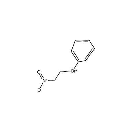 O=[N+]([O-])CC[Br+]c1ccccc1